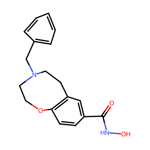 O=C(NO)c1ccc2c(c1)CCN(Cc1ccccc1)CCO2